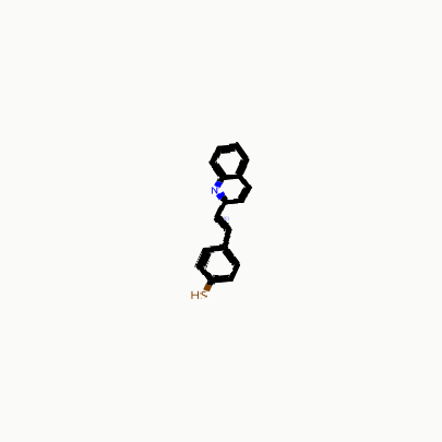 Sc1ccc(/C=C/c2ccc3ccccc3n2)cc1